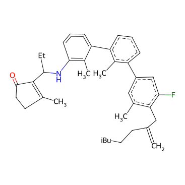 C=C(CCC(C)CC)Cc1c(C)cc(-c2cccc(C3=C=C=CC(NC(CC)C4=C(C)CCC4=O)=C3C)c2C)cc1F